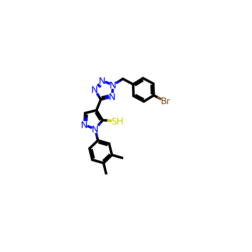 Cc1ccc(-n2ncc(-c3nnn(Cc4ccc(Br)cc4)n3)c2S)cc1C